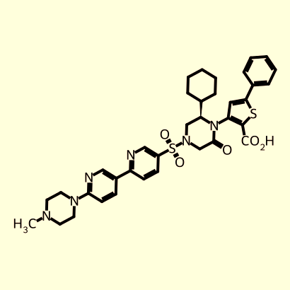 CN1CCN(c2ccc(-c3ccc(S(=O)(=O)N4CC(=O)N(c5cc(-c6ccccc6)sc5C(=O)O)[C@H](C5CCCCC5)C4)cn3)cn2)CC1